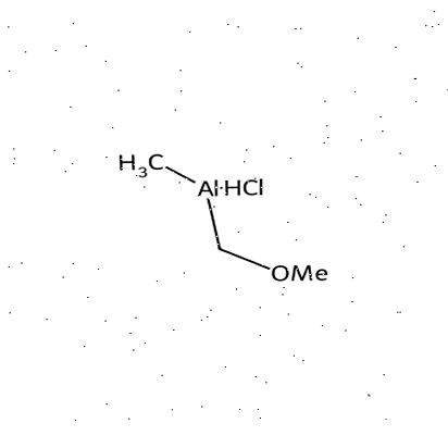 CO[CH2][Al][CH3].Cl